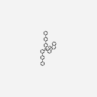 c1ccc(-c2ccc(-c3ccc(N(c4cccc(-c5ccc(-c6ccccc6)cc5)c4)c4cccc5c4oc4c6ccccc6ccc54)cc3)cc2)cc1